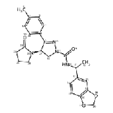 Cc1ccc(C2=NN(C(=O)NC(C)c3ccc4c(c3)OCO4)C[C@H]2N2CCCC2=O)cc1